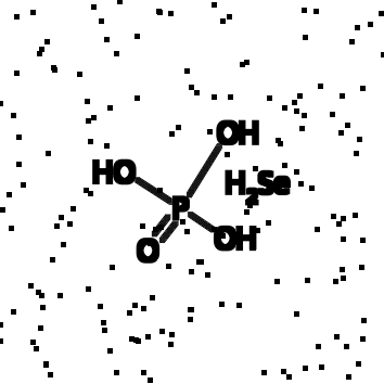 O=P(O)(O)O.[SeH2]